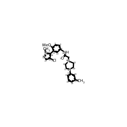 COc1ccc(NC(=O)CN2CCN(c3cccc(C)c3)CC2)cc1-c1c(Cl)cnn1C